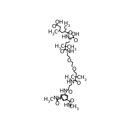 CNC(=O)c1cc(NC(=O)CCNC(=O)C(C)(C)CCOCCOCCNC(=O)C(C)(C)CC[C@H](NC(=O)C(C)CC(C)CC(=O)O)C(=O)O)cc(C(=O)NC)c1